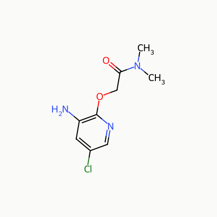 CN(C)C(=O)COc1ncc(Cl)cc1N